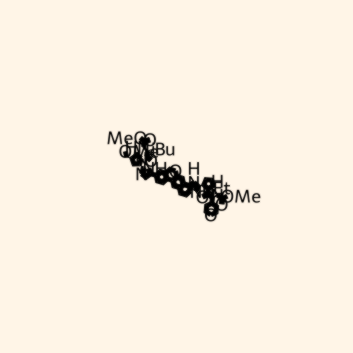 CC[C@H]1CC[C@@H](c2nc3ccc4cc5c(cc4c3[nH]2)OCc2cc(-c3cnc([C@@H]4C[C@H](COC)CN4C(=O)[C@@H](NC(=O)OC)[C@@H](C)CC)[nH]3)ccc2-5)N1C(=O)[C@@H](NC(=O)OC)C1CCOCC1